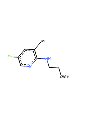 COCCNc1ncc(F)cc1C(C)C